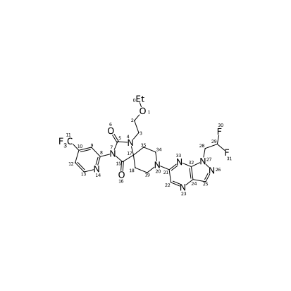 CCOCCN1C(=O)N(c2cc(C(F)(F)F)ccn2)C(=O)C12CCN(c1cnc3cnn(CC(F)F)c3n1)CC2